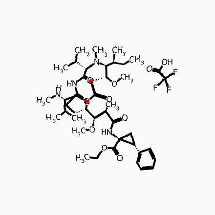 CCOC(=O)[C@]1(NC(=O)[C@H](C)[C@@H](OC)[C@@H]2CCCN2C(=O)C[C@@H](OC)[C@H]([C@@H](C)CC)N(C)[C@H](C(=O)NC(=O)[C@@H](NC)C(C)C)C(C)C)C[C@@H]1c1ccccc1.O=C(O)C(F)(F)F